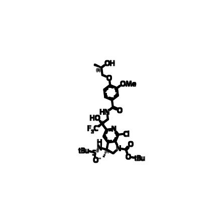 COc1cc(C(=O)NC[C@@](O)(c2cc3c(c(Cl)n2)N(C(=O)OC(C)(C)C)C[C@@]3(C)N[S+]([O-])C(C)(C)C)C(F)(F)F)ccc1OC[C@@H](C)O